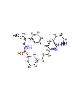 O=C(NCC(C(=O)O)c1ccccc1)C1CCCN(CCCc2ccc3c(n2)NCCC3)C1